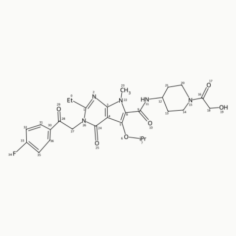 CCc1nc2c(c(OC(C)C)c(C(=O)NC3CCN(C(=O)CO)CC3)n2C)c(=O)n1CC(=O)c1ccc(F)cc1